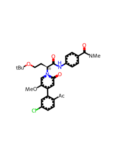 CNC(=O)c1ccc(NC(=O)[C@H](CCOC(C)(C)C)n2cc(OC)c(-c3cc(Cl)ccc3C(C)=O)cc2=O)cc1